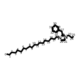 CCCCCCCCCCCCCCCCCCC[n+]1ccn(CCC)c1Cc1ccccc1